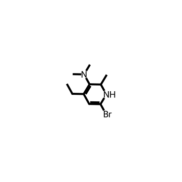 CCC1=C(N(C)C)C(C)NC(Br)=C1